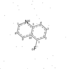 Fc1cccc2n[c]ccc12